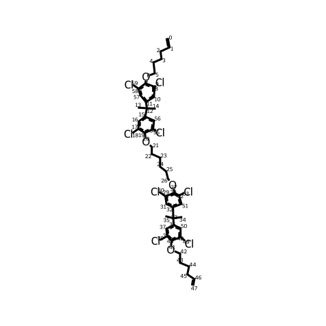 C=CCCCCOc1c(Cl)cc(C(C)(C)c2cc(Cl)c(OCCCCCCOc3c(Cl)cc(C(C)(C)c4cc(Cl)c(OCCCCC=C)c(Cl)c4)cc3Cl)c(Cl)c2)cc1Cl